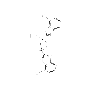 CC(C)(CC(C)(C)c1nc2cccc(Cl)c2o1)c1nc2c(Cl)cccc2o1